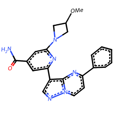 COC1CN(c2cc(C(N)=O)cc(-c3cnn4ccc(-c5ccccc5)nc34)n2)C1